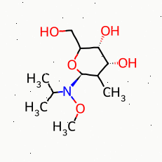 CON(C(C)C)[C@H]1OC(CO)[C@H](O)[C@H](O)C1C